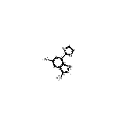 CCCc1cc(-c2nccs2)c2[nH]nc(N)c2c1